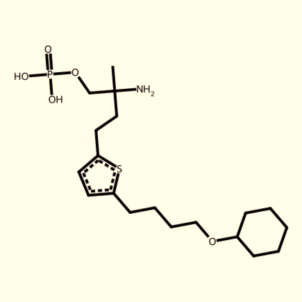 CC(N)(CCc1ccc(CCCCOC2CCCCC2)s1)COP(=O)(O)O